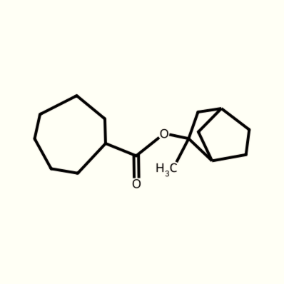 CC1(OC(=O)C2CCCCCC2)CC2CCC1C2